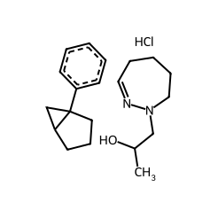 CC(O)CN1CCCCC=N1.Cl.c1ccc(C23CCCC2C3)cc1